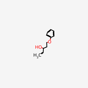 C=CC(O)CCOc1ccccc1